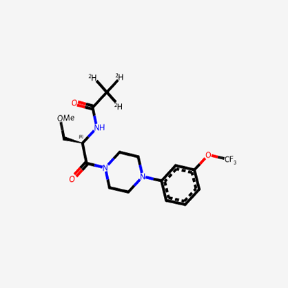 [2H]C([2H])([2H])C(=O)N[C@H](COC)C(=O)N1CCN(c2cccc(OC(F)(F)F)c2)CC1